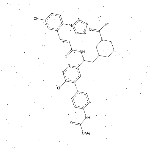 COC(=O)Nc1ccc(-c2cc(C(CC3CCCN(C(=O)C(C)C)C3)NC(=O)C=Cc3cc(Cl)ccc3-n3cnnn3)nnc2Cl)cc1